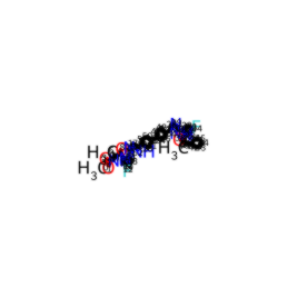 COC(=O)N[C@@H](C)C(=O)N1C[C@@H](F)C[C@H]1c1ncc(-c2ccc(-c3ccc(-c4cnc([C@@H]5C[C@H](F)CN5C(=O)[C@H](C)c5ccccc5)[nH]4)cc3)cc2)[nH]1